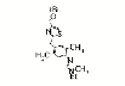 CCN(C)C=Nc1cc(C)c(Cc2nc(COC(C)(C)C)cs2)cc1C